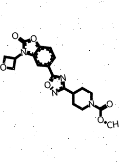 COC(=O)N1CCC(c2noc(-c3ccc4oc(=O)n(C5COC5)c4c3)n2)CC1